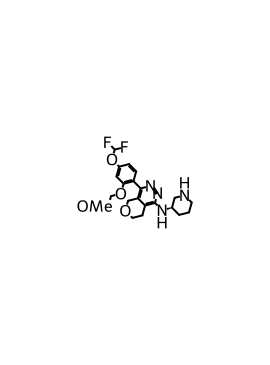 COCOc1cc(OC(F)F)ccc1-c1nnc(N[C@@H]2CCCNC2)c2c1COCC2